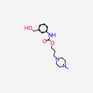 CN1CCN(CCCOC(=O)Nc2cccc(CO)c2)CC1